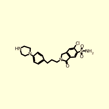 NS(=O)(=O)c1cc2c(cc1Cl)CN(CCCc1ccc(N3CCNCC3)cc1)C2=O